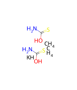 C.C.NC(O)=S.NC(O)=S.[KH]